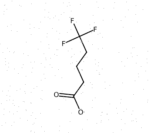 [O]C(=O)CCCC(F)(F)F